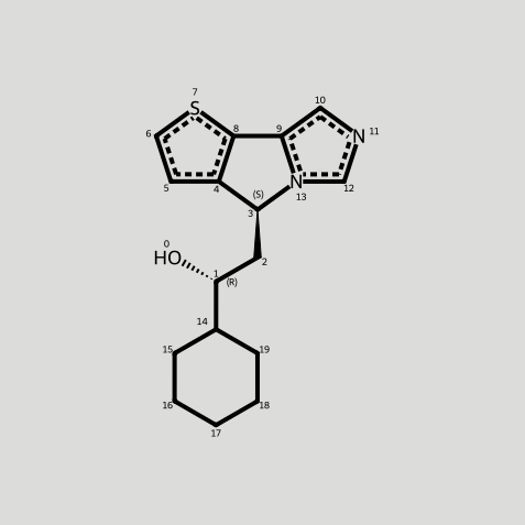 O[C@H](C[C@H]1c2ccsc2-c2cncn21)C1CCCCC1